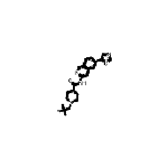 CC(C)(F)CN1CCC(C(=O)Nc2cc3cc(-c4cnco4)ccc3cn2)CC1